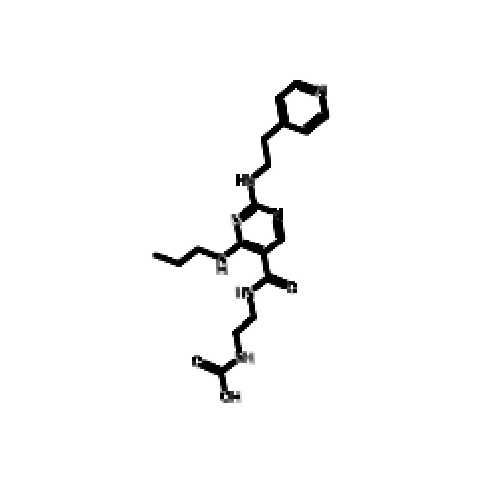 CCCNc1nc(NCCc2ccncc2)ncc1C(=O)NCCNC(=O)O